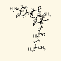 CN(C)CCNC(=O)OCc1c(F)c(N)c2c(=O)cc(-c3ccc(N)c(F)c3)oc2c1F